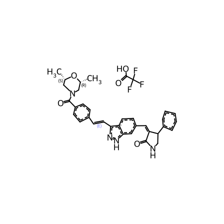 C[C@@H]1CN(C(=O)c2ccc(/C=C/c3n[nH]c4cc(C=C5C(=O)NCC5c5ccccc5)ccc34)cc2)C[C@H](C)O1.O=C(O)C(F)(F)F